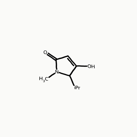 CC(C)C1C(O)=CC(=O)N1C